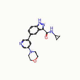 O=C(NC1CC1)c1n[nH]c2ccc(-c3cncc(N4CCOCC4)c3)cc12